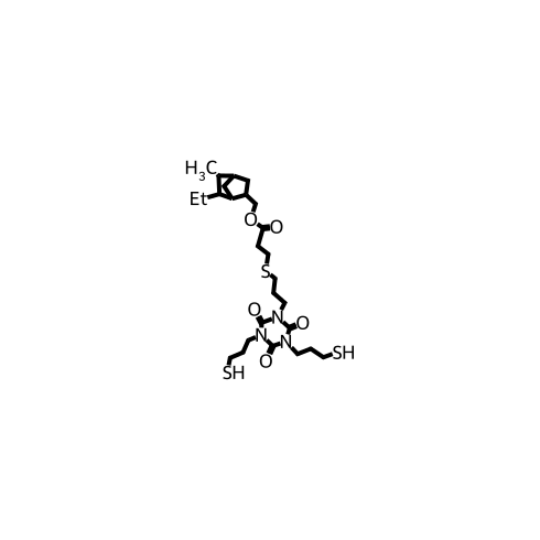 CCC1C(C)C2CC(COC(=O)CCSCCCn3c(=O)n(CCCS)c(=O)n(CCCS)c3=O)C1C2